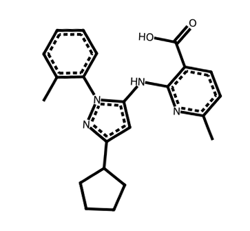 Cc1ccc(C(=O)O)c(Nc2cc(C3CCCC3)nn2-c2ccccc2C)n1